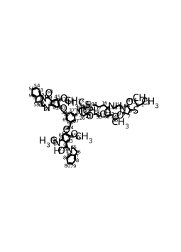 CCC(CC)SC1CC(=O)N(CCNC(=O)CCCSSC(C)(C)CN(CCOCCOCCOC)c2cc(COc3cc4c(cc3OC)C(=O)N3c5ccccc5CC3C=N4)cc(COc3cc(NC)c(C(=O)N4CCc5ccccc54)cc3OC)c2)C1=O